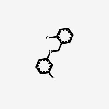 Fc1[c]ccc(OCc2ccccc2Cl)c1